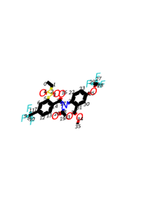 CCS(=O)(=O)c1cc(C(F)(F)F)ccc1C(=O)N(C(C)=O)c1ccc(OC(F)(F)F)cc1C(=O)OC